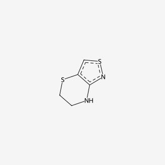 c1snc2c1SCCN2